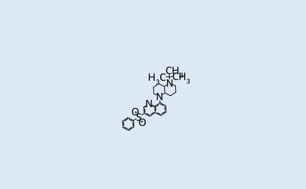 CC(C)(C)N1CCCC2C1CCCN2c1cccc2cc(S(=O)(=O)c3ccccc3)cnc12